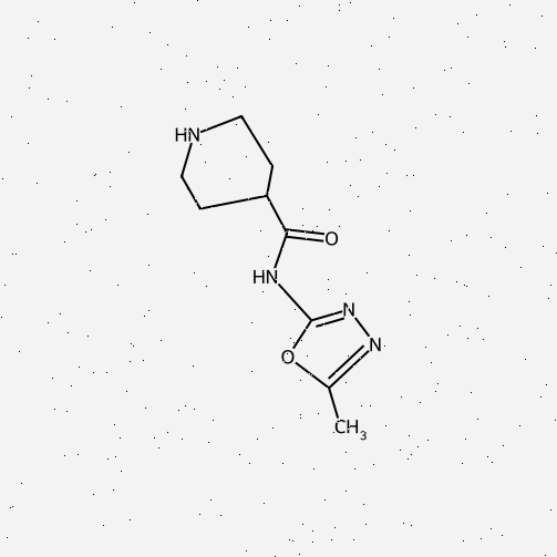 Cc1nnc(NC(=O)C2CCNCC2)o1